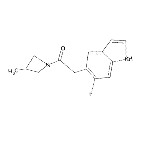 CC1CN(C(=O)Cc2cc3cc[nH]c3cc2F)C1